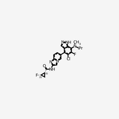 CC(C)N(C)c1c(F)c(Cl)c(-c2ccc3nc(NC(=O)[C@@H]4C[C@@H]4F)cn3c2)c2cn[nH]c12